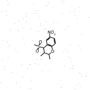 CC1Oc2ccc([N+](=O)[O-])cc2C(S(C)(=O)=O)C1C